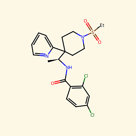 CCS(=O)(=O)N1CCC(c2ccccn2)([C@H](C)NC(=O)c2ccc(Cl)cc2Cl)CC1